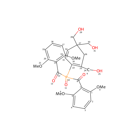 COc1cccc(OC)c1C(=O)P(=O)(C(=O)c1c(OC)cccc1OC)C1=C(CO)CC(CO)(CO)C=C1